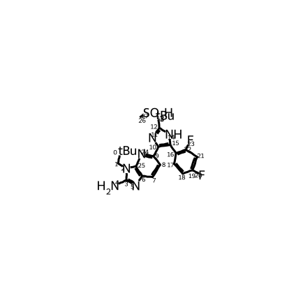 CC(C)(C)Cn1c(N)nc2ccc(-c3nc(C(C)(C)C)[nH]c3-c3ccc(F)cc3F)nc21.CS(=O)(=O)O